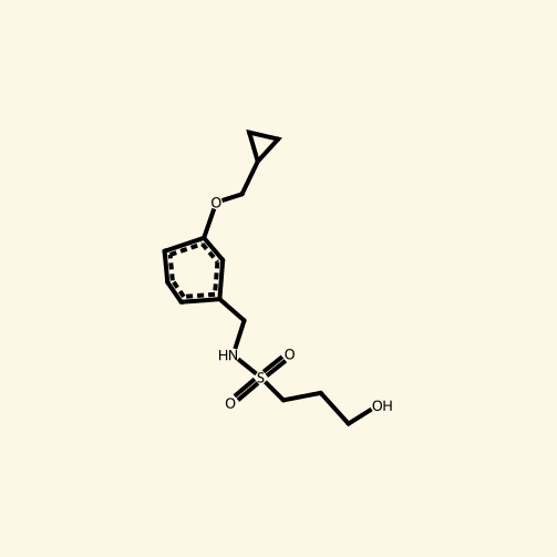 O=S(=O)(CCCO)NCc1cccc(OCC2CC2)c1